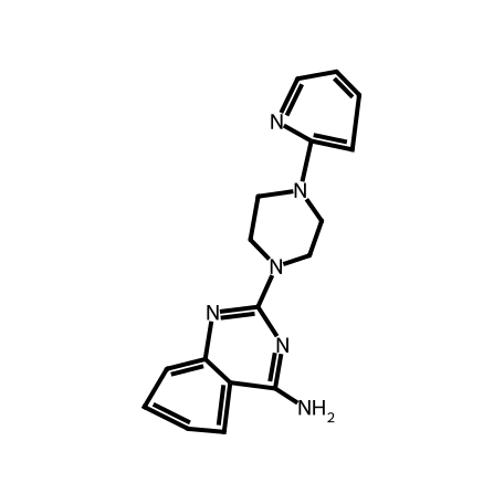 Nc1nc(N2CCN(c3ccccn3)CC2)nc2ccccc12